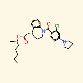 CCCCC[C@@H](C)OC(=O)C[C@H]1CCCN(C(=O)c2ccc(N3CCCC3)cc2Cl)c2ccccc21